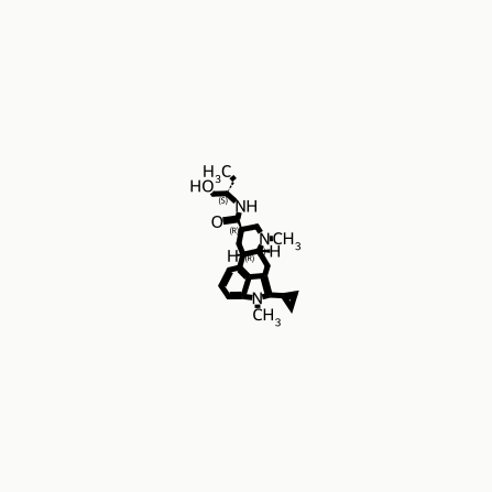 CC[C@@H](CO)NC(=O)[C@@H]1C[C@@H]2c3cccc4c3c(c(C3=CC3)n4C)C[C@H]2N(C)C1